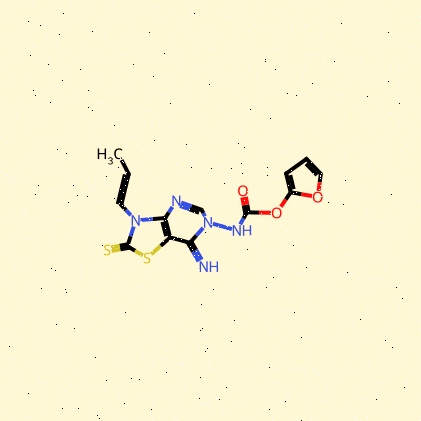 CC=Cn1c(=S)sc2c(=N)n(NC(=O)Oc3ccco3)cnc21